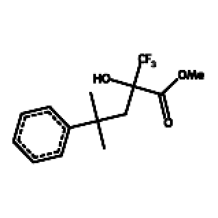 COC(=O)C(O)(CC(C)(C)c1ccccc1)C(F)(F)F